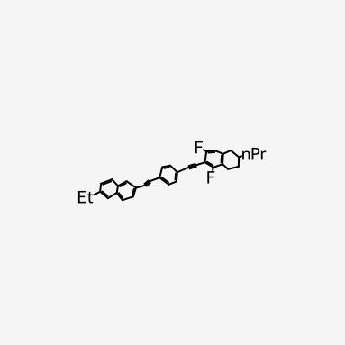 CCCC1CCc2c(cc(F)c(C#Cc3ccc(C#Cc4ccc5cc(CC)ccc5c4)cc3)c2F)C1